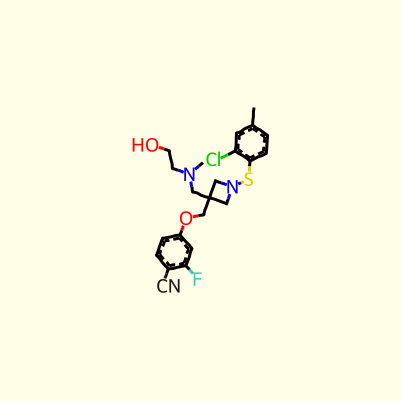 Cc1ccc(SN2CC(COc3ccc(C#N)c(F)c3)(CN(C)CCO)C2)c(Cl)c1